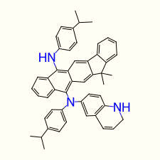 CC(C)c1ccc(Nc2c3ccccc3c(N(c3ccc(C(C)C)cc3)c3ccc4c(c3)C=CCN4)c3cc4c(cc23)-c2ccccc2C4(C)C)cc1